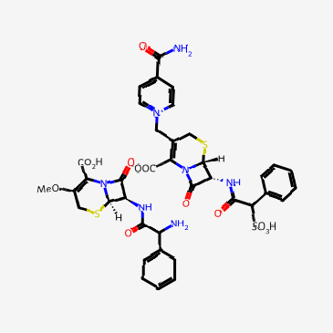 COC1=C(C(=O)O)N2C(=O)[C@@H](NC(=O)C(N)C3=CCC=CC3)[C@H]2SC1.NC(=O)c1cc[n+](CC2=C(C(=O)[O-])N3C(=O)[C@@H](NC(=O)C(c4ccccc4)S(=O)(=O)O)[C@H]3SC2)cc1